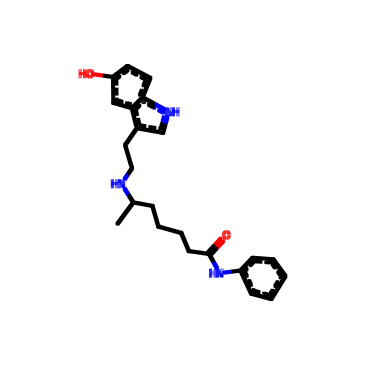 CC(CCCCC(=O)Nc1ccccc1)NCCc1c[nH]c2ccc(O)cc12